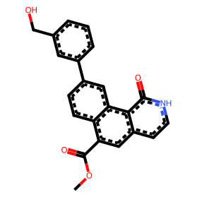 COC(=O)c1cc2cc[nH]c(=O)c2c2cc(-c3cccc(CO)c3)ccc12